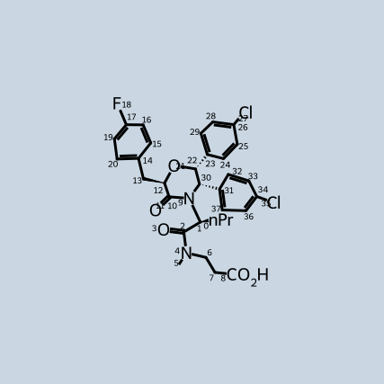 CCC[C@@H](C(=O)N(C)CCC(=O)O)N1C(=O)[C@@H](Cc2ccc(F)cc2)O[C@H](c2ccc(Cl)cc2)[C@@H]1c1ccc(Cl)cc1